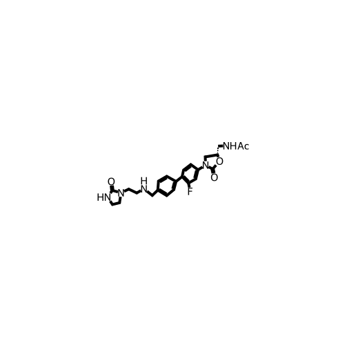 CC(=O)NC[C@H]1CN(c2ccc(-c3ccc(CNCCN4CCNC4=O)cc3)c(F)c2)C(=O)O1